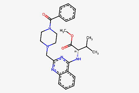 COC(=O)[C@@H](Nc1nc(CN2CCN(C(=O)c3ccccc3)CC2)nc2ccccc12)C(C)C